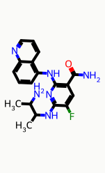 CC(N)C(C)Nc1nc(Nc2cccc3ncccc23)c(C(N)=O)cc1F